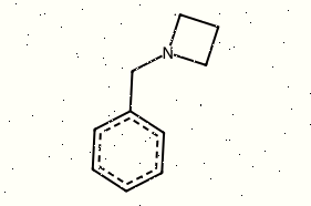 [CH]1CCN1Cc1ccccc1